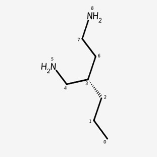 CCC[C@H](CN)CCN